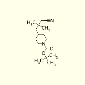 CC(C)(CC#N)CC1CCN(C(=O)OC(C)(C)C)CC1